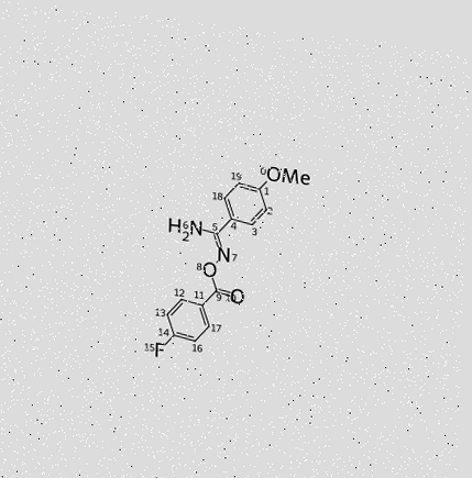 COc1ccc(/C(N)=N/OC(=O)c2ccc(F)cc2)cc1